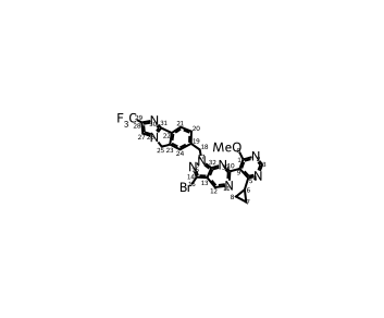 COc1ncnc(C2CC2)c1-c1ncc2c(Br)nn(Cc3ccc4c(c3)Cn3cc(C(F)(F)F)nc3-4)c2n1